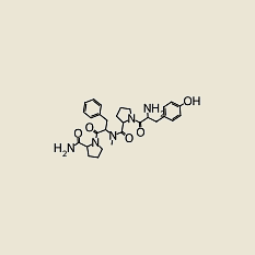 CN(C(=O)C1CCCN1C(=O)C(N)Cc1ccc(O)cc1)C(Cc1ccccc1)C(=O)N1CCCC1C(N)=O